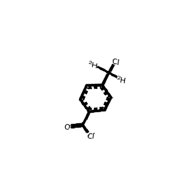 [2H]C([2H])(Cl)c1ccc(C(=O)Cl)cc1